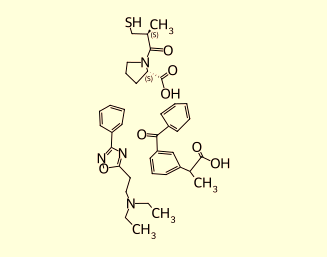 CC(C(=O)O)c1cccc(C(=O)c2ccccc2)c1.CCN(CC)CCc1nc(-c2ccccc2)no1.C[C@H](CS)C(=O)N1CCC[C@H]1C(=O)O